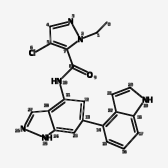 CCn1ncc(Cl)c1C(=O)Nc1cc(-c2cccc3[nH]ccc23)cc2[nH]ncc12